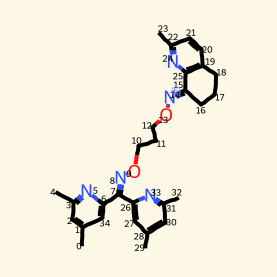 Cc1cc(C)nc(C(=NOCCCO/N=C2\CCCc3ccc(C)nc32)c2cc(C)cc(C)n2)c1